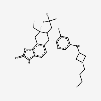 CC[C@]1(C)Cc2c(ccc3[nH]c(=O)oc23)[C@@H](c2ncc(NC3CN(CCCF)C3)cc2F)N1CC(F)(F)F